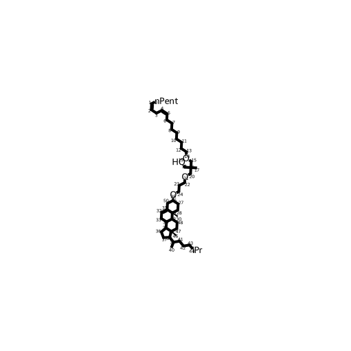 CCCCC/C=C\C/C=C\CCCCCCCCOCC(C)(CO)COCCCO[C@H]1CC[C@@]2(C)C(=CCC3C4CCC(C(C)CCCC(C)C)[C@@]4(C)CCC32)C1